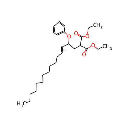 CCCCCCCCCCC/C=C/C(CC(C(=O)OCC)C(=O)OCC)Oc1ccccc1